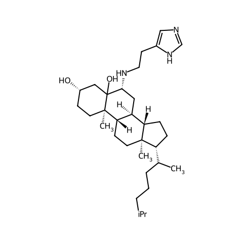 CC(C)CCCC(C)[C@H]1CC[C@H]2[C@@H]3C[C@@H](NCCc4cnc[nH]4)C4(O)C[C@@H](O)CC[C@]4(C)[C@H]3CC[C@]12C